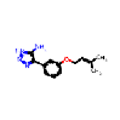 CC(C)=CCOc1cccc(-c2nn[nH]c2N)c1